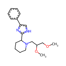 COCC(CN1CCCCC1c1nc(-c2ccccc2)c[nH]1)OC